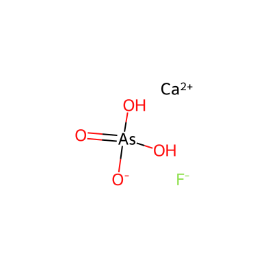 O=[As]([O-])(O)O.[Ca+2].[F-]